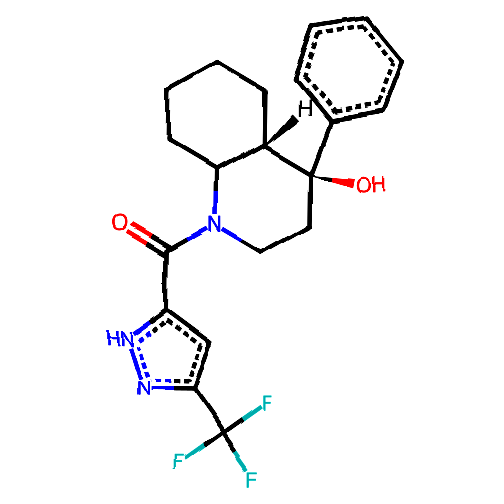 O=C(c1cc(C(F)(F)F)n[nH]1)N1CC[C@@](O)(c2ccccc2)[C@H]2CCCCC21